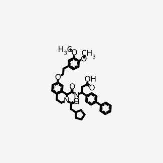 COc1ccc(CCOc2ccc3c(c2)C(C(=O)NC(CC(=O)O)c2ccc(-c4ccccc4)cc2)N(C(=O)CC2CCCC2)CC3)cc1OC